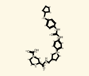 O=C(Nc1ccc(OC2CCCC2)cc1)Nc1ccc(N2CCC(CNC(=O)C3CN(C(=O)O)CCO3)C2)cc1